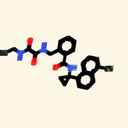 N#CCNC(=O)C(=O)NCc1ccccc1C(=O)NC1(c2cccc3c(C#N)cccc23)CC1